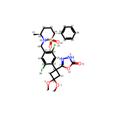 COC1(OC)CC(c2n[nH]c(=O)o2)(c2cc(F)c(CN3[C@@H](C)CC[C@H](c4ccccc4)S3(=O)=O)cc2F)C1